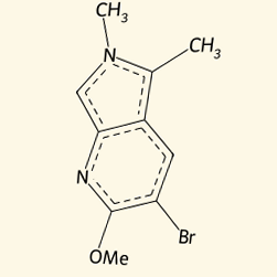 COc1nc2cn(C)c(C)c2cc1Br